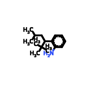 CC(C)CC(c1ccccc1N)C(C)(C)C